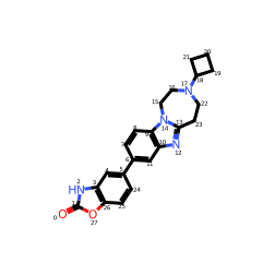 O=c1[nH]c2cc(-c3ccc4c(c3)nc3n4CCN(C4CCC4)CC3)ccc2o1